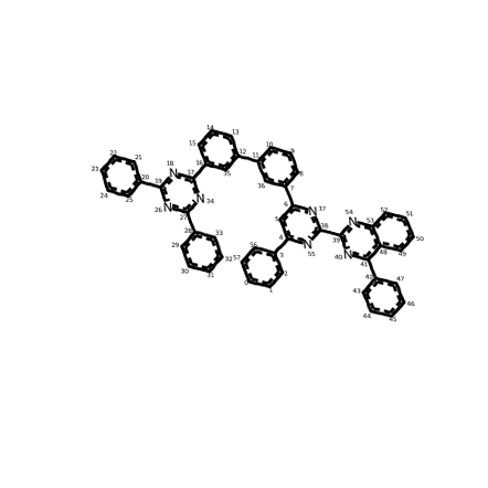 c1ccc(-c2cc(-c3cccc(-c4cccc(-c5nc(-c6ccccc6)nc(-c6ccccc6)n5)c4)c3)nc(-c3nc(-c4ccccc4)c4ccccc4n3)n2)cc1